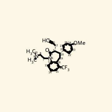 C#CC[C@H]1C(=O)N(CCN(C)C)c2cccc(C(F)(F)F)c2C[C@H]1c1ccc(OC)cc1